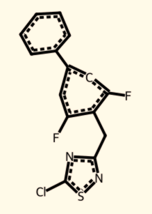 Fc1cc(-c2ccccc2)cc(F)c1Cc1nsc(Cl)n1